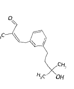 CC(C=O)=Cc1cccc(CCC(C)(C)O)c1